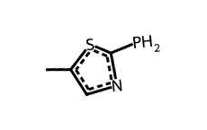 Cc1cnc(P)s1